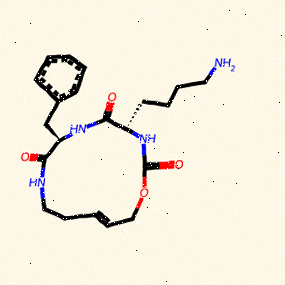 NCCCC[C@@H]1NC(=O)OC/C=C/CCNC(=O)[C@@H](Cc2ccccc2)NC1=O